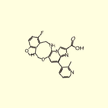 Cc1ncccc1-c1cc2c(n3cc(C(=O)O)nc13)NCc1c(F)ccc3c1[C@H](CO3)CO2